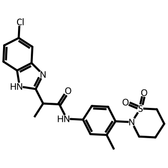 Cc1cc(NC(=O)C(C)c2nc3cc(Cl)ccc3[nH]2)ccc1N1CCCCS1(=O)=O